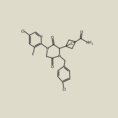 NC(=O)C12CC(C3C(=O)N(c4ncc(Cl)cc4F)CC(=O)N3Cc3ccc(Cl)cc3)(C1)C2